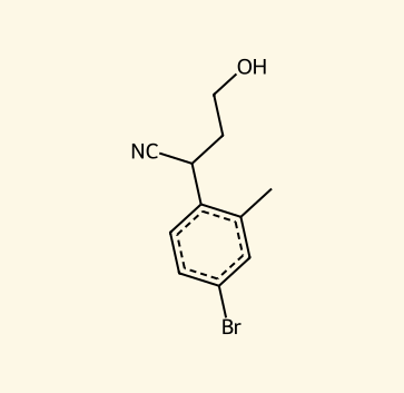 Cc1cc(Br)ccc1C(C#N)CCO